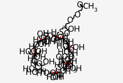 CN[C@H](CSCC1O[C@H]2O[C@@H]3C(CO)O[C@H](O[C@@H]4C(CO)O[C@H](O[C@@H]5C(CO)O[C@H](O[C@@H]6C(CSC[C@@H](CCOCCOCCC(C)=O)C(=O)O)O[C@H](O[C@@H]7C(CO)O[C@@H](O[C@@H]8C(CO)O[C@@H](O[C@H]1[C@H](O)C2O)C(O)[C@H]8O)C(O)[C@H]7O)C(O)[C@H]6O)C(O)[C@H]5O)C(O)[C@H]4O)C(O)[C@H]3O)C(=O)O